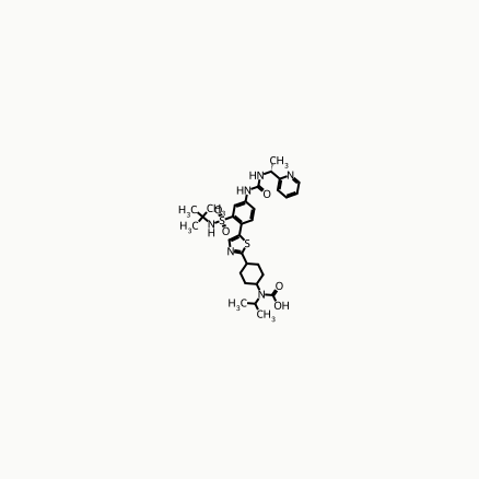 CC(C)N(C(=O)O)C1CCC(c2ncc(-c3ccc(NC(=O)N[C@H](C)c4ccccn4)cc3S(=O)(=O)NC(C)(C)C)s2)CC1